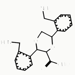 NCc1ccccc1C1COC(c2ccccc2CN)C(C(=O)C=O)O1